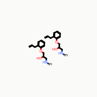 C=CCc1ccccc1OCC(O)CNC(C)C.C=CCc1ccccc1OCC(O)CNC(C)C